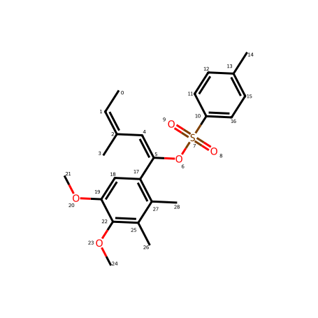 C/C=C(C)\C=C(\OS(=O)(=O)c1ccc(C)cc1)c1cc(OC)c(OC)c(C)c1C